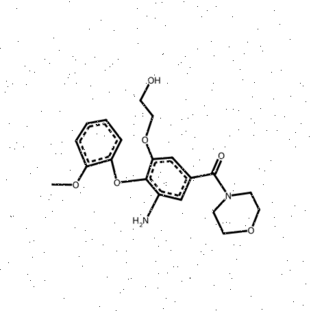 COc1ccccc1Oc1c(N)cc(C(=O)N2CCOCC2)cc1OCCO